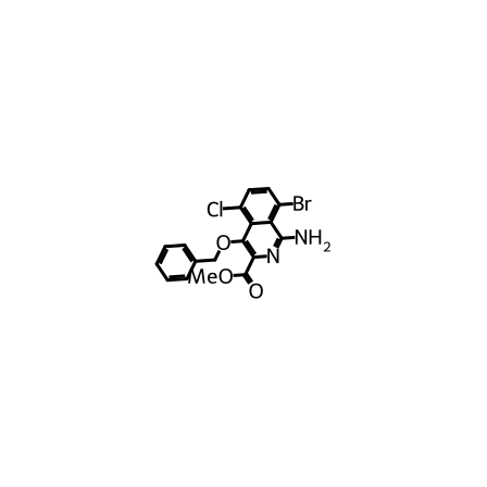 COC(=O)c1nc(N)c2c(Br)ccc(Cl)c2c1OCc1ccccc1